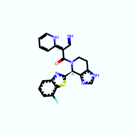 N=C/C(C(=O)N1CCc2[nH]cnc2[C@H]1c1nc2cccc(F)c2s1)=C1/C=CC=CN1